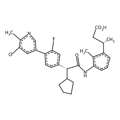 Cc1ncc(-c2ccc([C@H](C(=O)Nc3cccc([C@@H](C)CC(=O)O)c3C)C3CCCC3)cc2F)cc1Cl